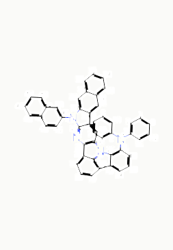 c1ccc(N(c2ccccc2)c2cccc3c4cccc5c6nc7c(cc6n(c23)c45)c2cc3ccccc3cc2n7-c2ccc3ccccc3c2)cc1